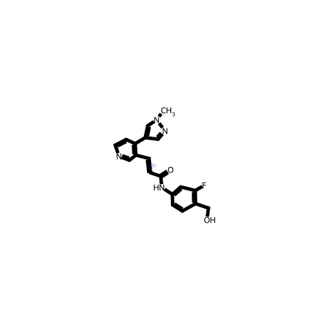 Cn1cc(-c2ccncc2/C=C/C(=O)Nc2ccc(CO)c(F)c2)cn1